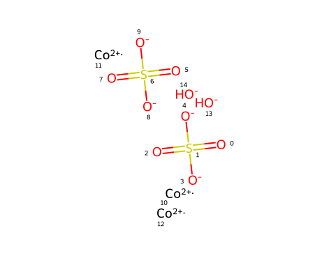 O=S(=O)([O-])[O-].O=S(=O)([O-])[O-].[Co+2].[Co+2].[Co+2].[OH-].[OH-]